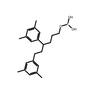 Cc1cc(C)cc(CCC(CCCOP(O)O)c2cc(C)cc(C)c2)c1